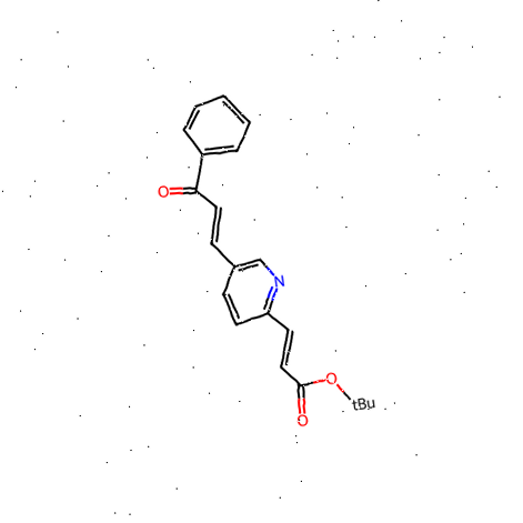 CC(C)(C)OC(=O)C=Cc1ccc(C=CC(=O)c2ccccc2)cn1